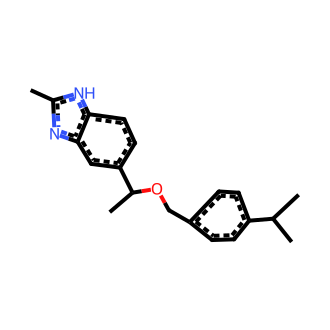 Cc1nc2cc(C(C)OCc3ccc(C(C)C)cc3)ccc2[nH]1